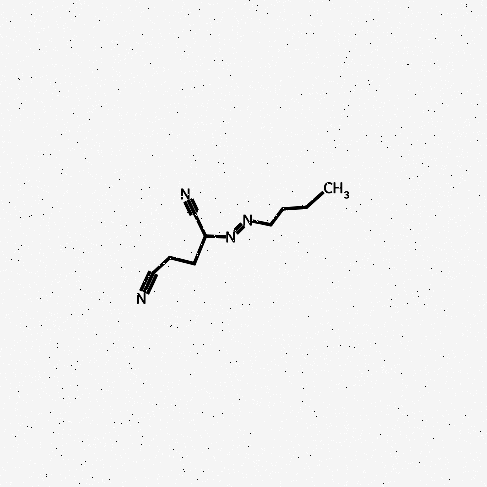 CCCCN=NC(C#N)CCC#N